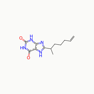 C=CCCCC(C)c1nc2[nH]c(=O)[nH]c(=O)c2[nH]1